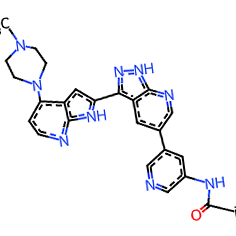 CC(C)C(=O)Nc1cncc(-c2cnc3[nH]nc(-c4cc5c(N6CCN(C)CC6)ccnc5[nH]4)c3c2)c1